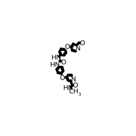 CNC(=O)c1cc(Oc2ccc(NC(=O)Nc3ccc(Oc4ccnc(C=O)c4)cc3)cc2)ccn1